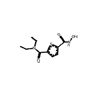 CCN(CC)C(=O)c1ccc(C(=O)NO)s1